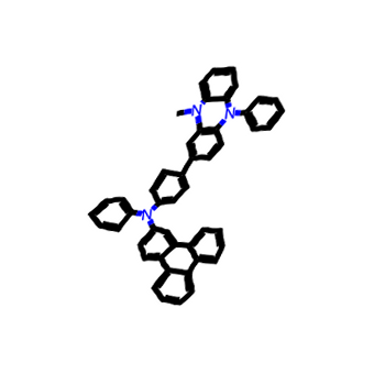 CN1c2ccccc2N(c2ccccc2)c2ccc(-c3ccc(N(c4ccccc4)c4ccc5c6ccccc6c6ccccc6c5c4)cc3)cc21